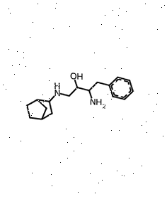 NC(Cc1ccccc1)C(O)CNC1CC2CCC1C2